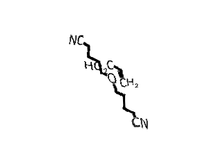 C=CC(=O)O.N#CCCCCOCCCCC#N